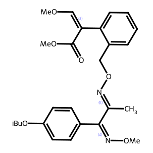 CO/C=C(\C(=O)OC)c1ccccc1CO/N=C(C)/C(=N\OC)c1ccc(OCC(C)C)cc1